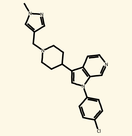 Cn1cc(CN2CCC(c3cn(-c4ccc(Cl)cc4)c4cnccc34)CC2)cn1